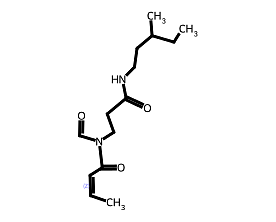 C/C=C\C(=O)N(C=O)CCC(=O)NCCC(C)CC